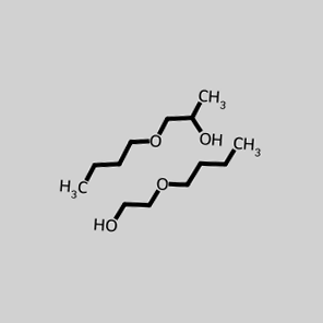 CCCCOCC(C)O.CCCCOCCO